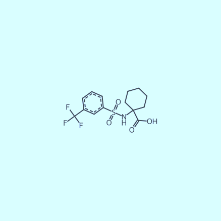 O=C(O)C1(NS(=O)(=O)c2cccc(C(F)(F)F)c2)CCCCC1